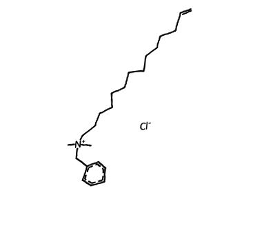 C=CCCCCCCCCCCCC[N+](C)(C)Cc1ccccc1.[Cl-]